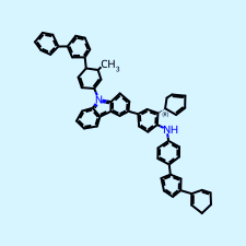 CC1C=C(n2c3ccccc3c3cc(-c4ccc(Nc5ccc(-c6cccc(C7=CCCC=C7)c6)cc5)c([C@H]5C=CC=CC5)c4)ccc32)C=CC1c1cccc(-c2ccccc2)c1